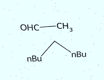 CC=O.CCCCCCCCC